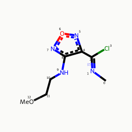 C/N=C(\Cl)c1nonc1NCCOC